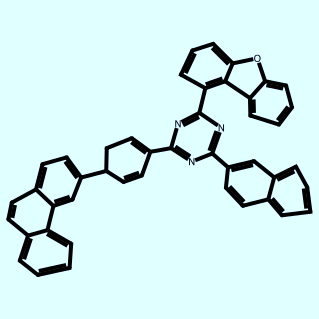 C1=CC(c2ccc3ccc4ccccc4c3c2)CC=C1c1nc(-c2ccc3ccccc3c2)nc(-c2cccc3oc4ccccc4c23)n1